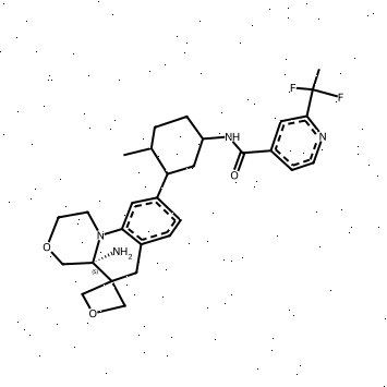 CC1CCC(NC(=O)c2ccnc(C(C)(F)F)c2)CC1c1ccc2c(c1)N1CCOC[C@]1(N)C1(COC1)C2